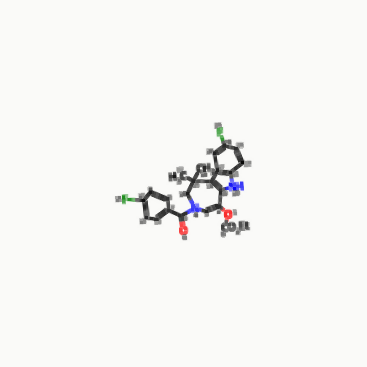 CCOC(=O)OC1=CN(C(=O)c2ccc(F)cc2)CC(C)(C)c2c1[nH]c1ccc(F)cc21